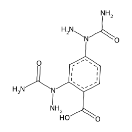 NC(=O)N(N)c1ccc(C(=O)O)c(N(N)C(N)=O)c1